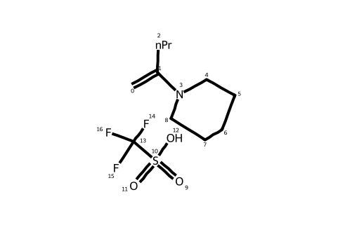 C=C(CCC)N1CCCCC1.O=S(=O)(O)C(F)(F)F